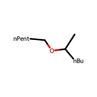 CCCCCCOC(C)CCCC